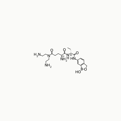 CC[C@@H](NC(=O)[C@@H](N)CCC(=O)N(CCN)CCN)C(=O)Nc1ccc2c(c1)B(O)OC2